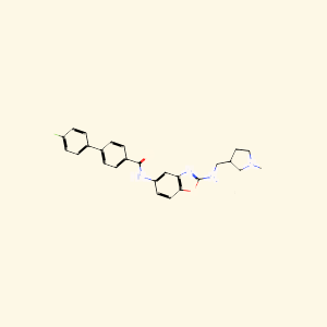 CN1CCC(CN(C)c2nc3cc(NC(=O)c4ccc(-c5ccc(F)cc5)cc4)ccc3o2)C1